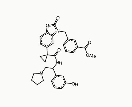 COC(=O)c1cccc(Cn2c(=O)oc3ccc(C4(C(=O)NC(CN5CCCC5)c5cccc(O)c5)CC4)cc32)c1